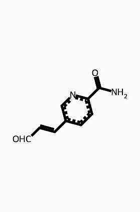 NC(=O)c1ccc(C=CC=O)cn1